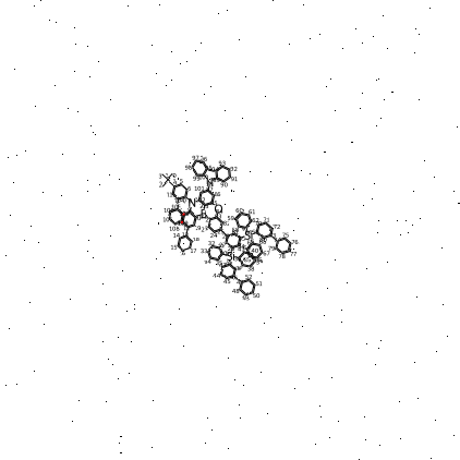 CC(C)(C)c1ccc(N2c3ccc(-c4ccccc4)cc3B3c4ccc(-c5cc([Si](c6ccccc6)(c6ccccc6)c6cccc(-c7ccccc7)c6)cc([Si](c6ccccc6)(c6ccccc6)c6cccc(-c7ccccc7)c6)c5)cc4Oc4cc(-n5c6ccccc6c6ccccc65)cc2c43)c(-c2ccccc2)c1